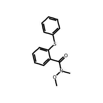 CON(C)C(=O)c1ccccc1Sc1ccccc1